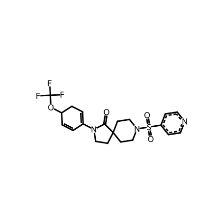 O=C1N(C2=CCC(OC(F)(F)F)C=C2)CCC12CCN(S(=O)(=O)c1ccncc1)CC2